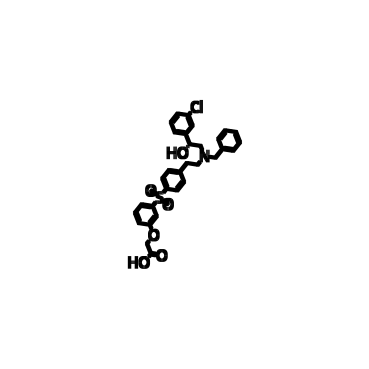 O=C(O)COc1cccc(S(=O)(=O)c2ccc(CCN(Cc3ccccc3)C[C@H](O)c3cccc(Cl)c3)cc2)c1